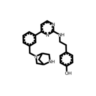 Oc1ccc(CCNc2nccc(-c3cccc(CN4CC5CC4CN5)c3)n2)cc1